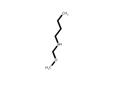 CCCCBCOC